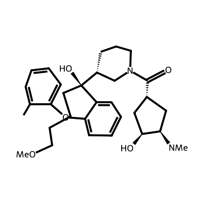 CN[C@@H]1C[C@@H](C(=O)N2CCC[C@@H]([C@@](O)(CCCCOC)c3ccccc3Oc3ccccc3C)C2)C[C@@H]1O